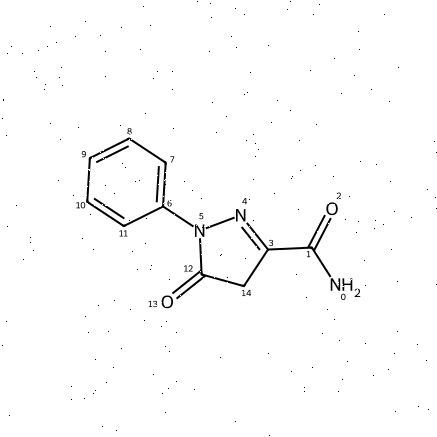 NC(=O)C1=NN(c2ccccc2)C(=O)C1